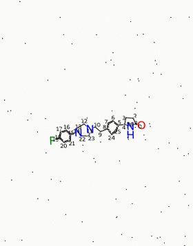 O=C1CCC(c2ccc(CCN3CCN(c4ccc(F)cc4)CC3)cc2)N1